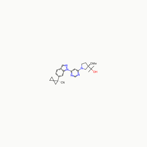 CO[C@]1(C(C)(C)O)CCN(c2cc(-n3ncc4ccc([C@@]5(C#N)CC56CC6)cc43)ncn2)C1